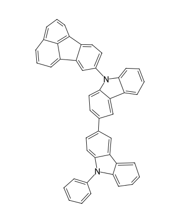 c1ccc(-n2c3ccccc3c3cc(-c4ccc5c(c4)c4ccccc4n5-c4ccc5c(c4)-c4cccc6cccc-5c46)ccc32)cc1